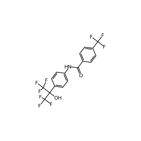 O=C(Nc1ccc(C(O)(C(F)(F)F)C(F)(F)F)cc1)c1ccc(C(F)(F)F)cc1